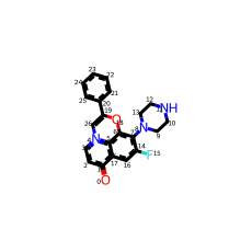 O=c1ccn2c3c(c(N4CCNCC4)c(F)cc13)OC(c1ccccc1)=C2